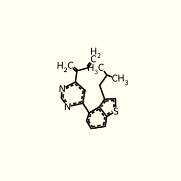 C=CC(=C)c1cc(-c2cccc3scc(CC(C)C)c23)ncn1